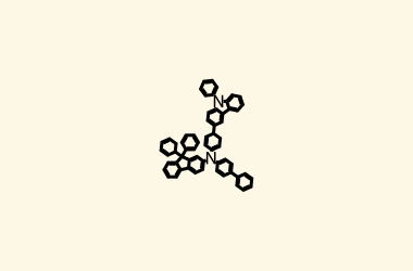 C1=CCC(C2(c3ccccc3)c3ccccc3-c3ccc(N(C4=CCC(c5ccc6c(c5)c5ccccc5n6-c5ccccc5)C=C4)c4ccc(-c5ccccc5)cc4)cc32)C=C1